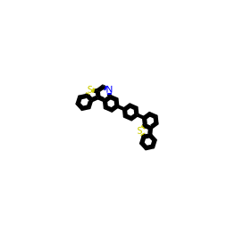 c1ccc2c(c1)sc1c(-c3ccc(-c4ccc5c(c4)ncc4sc6ccccc6c45)cc3)cccc12